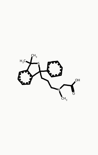 CN(CCCC1(c2ccccc2)SC(C)(C)c2ccccc21)CC(=O)O